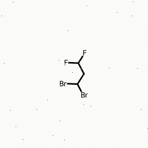 FC(F)CC(Br)Br